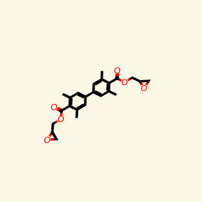 Cc1cc(-c2cc(C)c(C(=O)OCC3CO3)c(C)c2)cc(C)c1C(=O)OCC1CO1